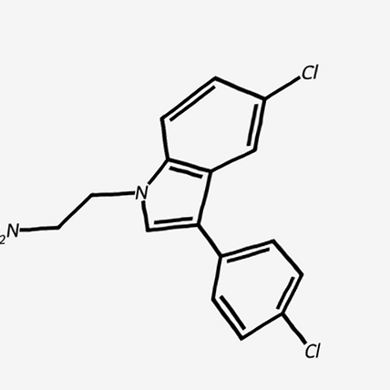 NCCn1cc(-c2ccc(Cl)cc2)c2cc(Cl)ccc21